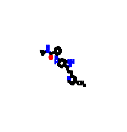 Cc1ccnc(C=Cc2n[nH]c3cc(Nc4ccccc4C(=O)NC4CC4)ccc23)c1